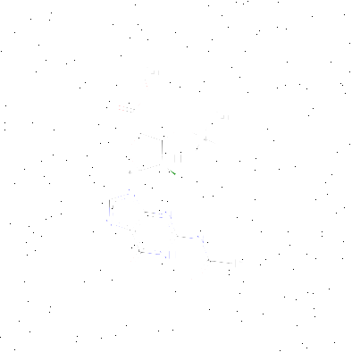 CC(C)C(=O)Nc1nc2c(ncn2[C@@H]2O[C@H](C(=O)OC(C)(C)C)C(O[Si](C)(C)C(C)(C)C)[C@H]2F)c(=O)[nH]1